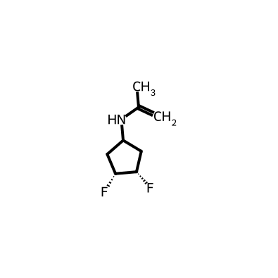 C=C(C)NC1C[C@@H](F)[C@@H](F)C1